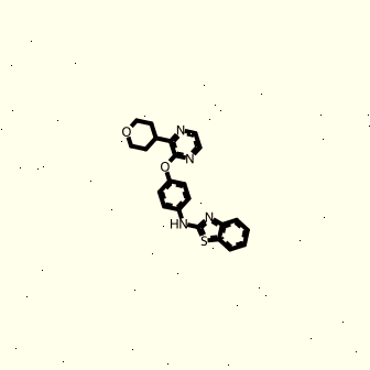 c1ccc2sc(Nc3ccc(Oc4nccnc4C4CCOCC4)cc3)nc2c1